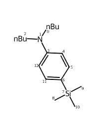 CCCCN(CCCC)c1ccc([Si](C)(C)C)cc1